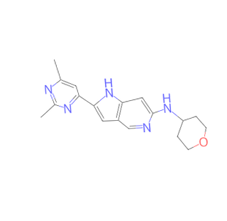 Cc1cc(-c2cc3cnc(NC4CCOCC4)cc3[nH]2)nc(C)n1